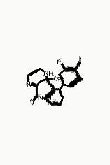 NC(=O)C1=NC=CNC1(c1ccccc1-c1ccc(F)c(F)c1)C(F)(F)F